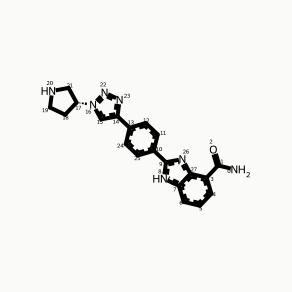 NC(=O)c1cccc2[nH]c(-c3ccc(-c4cn([C@@H]5CCNC5)nn4)cc3)nc12